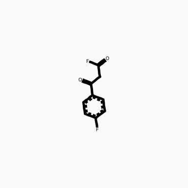 O=C(F)CC(=O)c1ccc(F)cc1